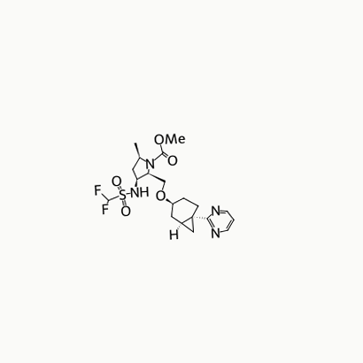 COC(=O)N1[C@H](C)C[C@H](NS(=O)(=O)C(F)F)[C@@H]1CO[C@H]1CC[C@@]2(c3ncccn3)C[C@H]2C1